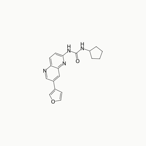 O=C(Nc1ccc2ncc(-c3ccoc3)cc2n1)NC1CCCC1